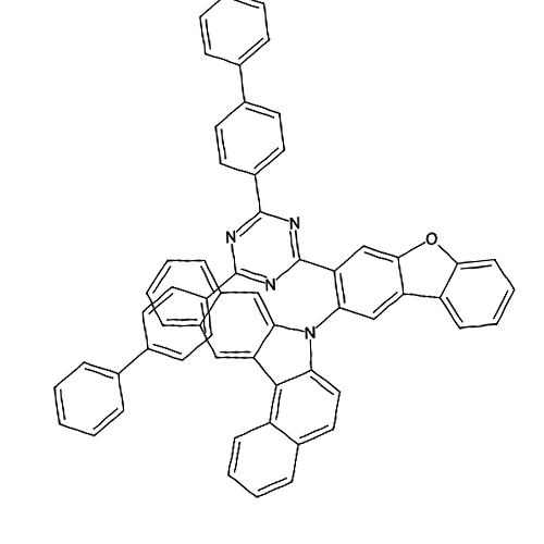 c1ccc(-c2ccc(-c3nc(-c4ccc(-c5ccccc5)cc4)nc(-c4cc5oc6ccccc6c5cc4-n4c5cc6ccccc6cc5c5c6ccccc6ccc54)n3)cc2)cc1